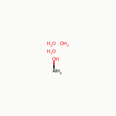 O.O.O.[OH][AlH2]